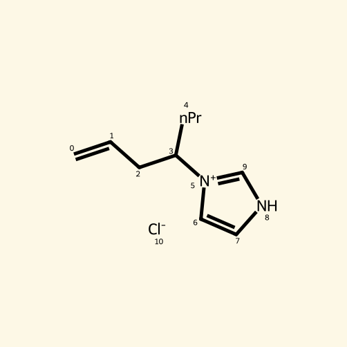 C=CCC(CCC)[n+]1cc[nH]c1.[Cl-]